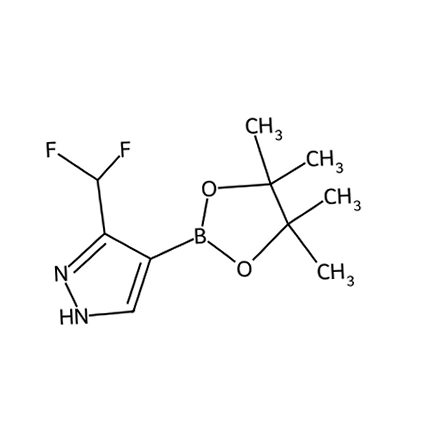 CC1(C)OB(c2c[nH]nc2C(F)F)OC1(C)C